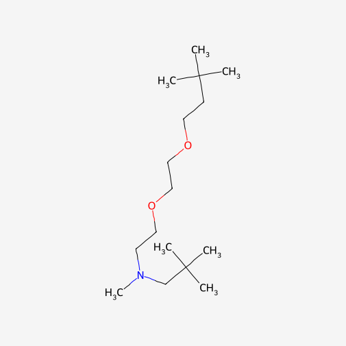 CN(CCOCCOCCC(C)(C)C)CC(C)(C)C